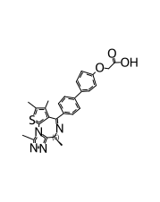 Cc1sc2c(c1C)C(c1ccc(-c3ccc(OCC(=O)O)cc3)cc1)=N[C@@H](C)c1nnc(C)n1-2